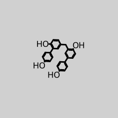 Oc1ccc(-c2ccc(O)c(Cc3ccc(O)c(-c4ccc(O)cc4)c3)c2)cc1